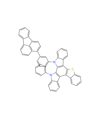 c1ccc(-n2c3ccccc3c3c4c5ccccc5sc4c4c5ccccc5n(-c5cccc(-c6ccc7c8c(cccc68)-c6ccccc6-7)c5)c4c32)cc1